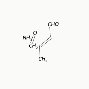 C/C=C/C=O.C=O.N